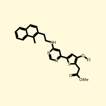 CCOc1cc(-c2cc(NCCc3ccc4ccccc4c3C)ncn2)sc1CC(=O)OC